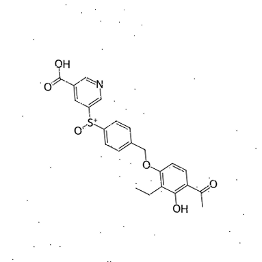 CCc1c(OCc2ccc([S+]([O-])c3cncc(C(=O)O)c3)cc2)ccc(C(C)=O)c1O